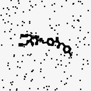 COC[C@@H](NC(=O)OCc1ccc(NC(=O)Cc2ccc(F)cc2)cc1)C(=O)OCC#N